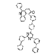 c1ccc(-c2cccc(-c3cc(-c4ccc(-c5ccc6oc7ccc8c(-c9ccccc9)nc9ccccc9c8c7c6c5)cc4)nc(-c4cccc(-c5ccccc5)c4)n3)c2)cc1